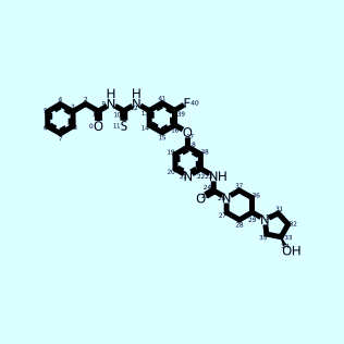 O=C(Cc1ccccc1)NC(=S)Nc1ccc(Oc2ccnc(NC(=O)N3CCC(N4CC[C@@H](O)C4)CC3)c2)c(F)c1